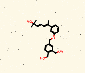 CC(=CC=CC(C)(C)O)c1cccc(OCc2ccc(CO)c(CO)c2)c1